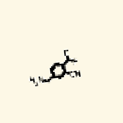 N#Cc1cc(CN)ccc1C(F)F